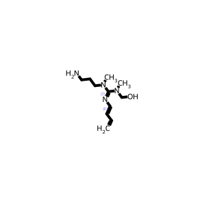 C=C/C=C/N=C(\N(C)CO)N(C)CCCN